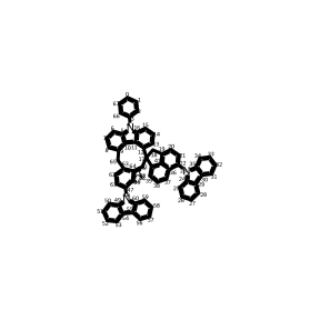 c1ccc(-n2c3cccc4c3c3c(cccc32)C2(Cc3ccc(-n5c6ccccc6c6ccccc65)c5cccc2c35)c2cccc3c(-n5c6ccccc6c6ccccc65)ccc(c23)C4)cc1